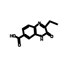 CCc1nc2ccc(C(=O)O)cc2[nH]c1=O